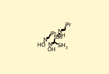 CC(C)(C)C([SiH3])=NO.CC(C)C=NO.CC(C)C=NO